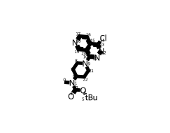 CN(C(=O)OC(C)(C)C)C1CCN(c2nnc(Cl)c3ccncc23)CC1